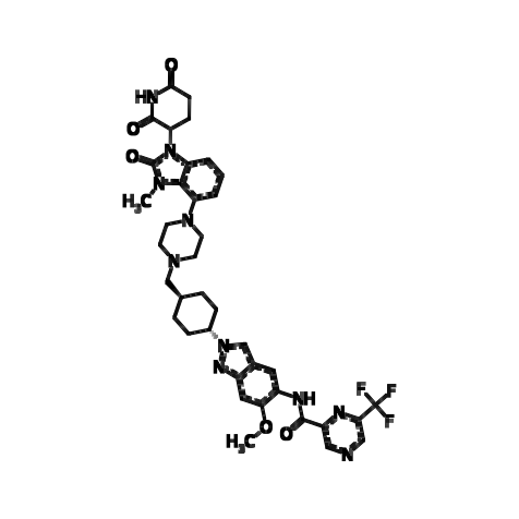 COc1cc2nn([C@H]3CC[C@H](CN4CCN(c5cccc6c5n(C)c(=O)n6C5CCC(=O)NC5=O)CC4)CC3)cc2cc1NC(=O)c1cncc(C(F)(F)F)n1